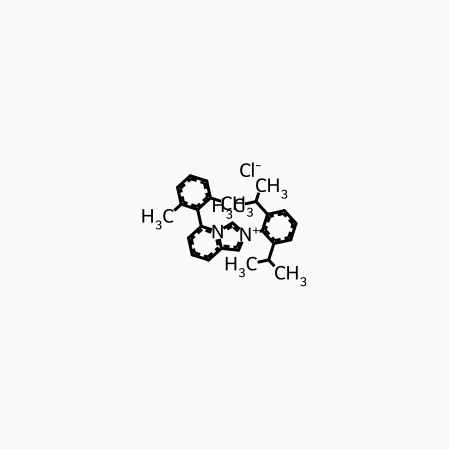 Cc1cccc(C)c1-c1cccc2c[n+](-c3c(C(C)C)cccc3C(C)C)cn12.[Cl-]